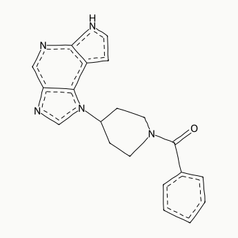 O=C(c1ccccc1)N1CCC(n2cnc3cnc4[nH]ccc4c32)CC1